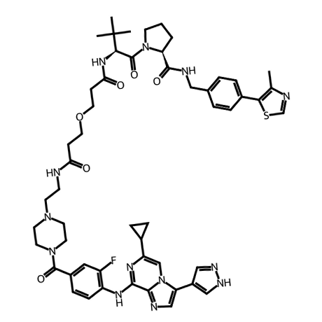 Cc1ncsc1-c1ccc(CNC(=O)[C@@H]2CCCN2C(=O)[C@@H](NC(=O)CCOCCC(=O)NCCN2CCN(C(=O)c3ccc(Nc4nc(C5CC5)cn5c(-c6cn[nH]c6)cnc45)c(F)c3)CC2)C(C)(C)C)cc1